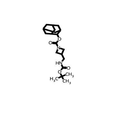 CC(C)(C)OC(=O)NCC1CN(C(=O)OC2C3CC4CC(C3)CC2C4)C1